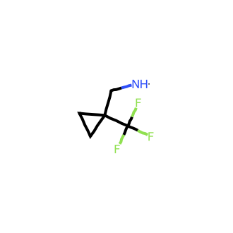 [NH]CC1(C(F)(F)F)CC1